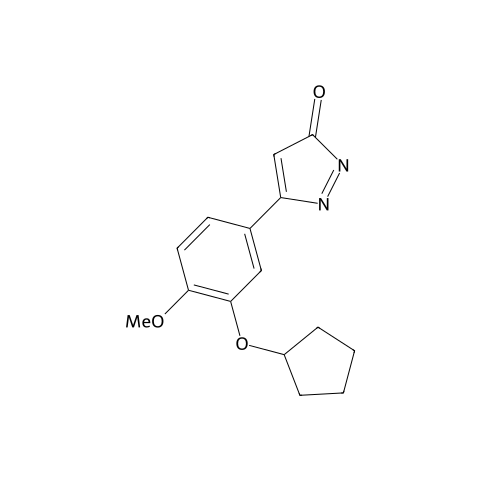 COc1ccc(C2=CC(=O)N=N2)cc1OC1CCCC1